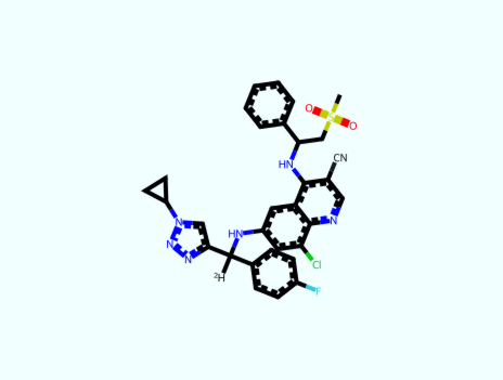 [2H]C(Nc1cc(Cl)c2ncc(C#N)c(NC(CS(C)(=O)=O)c3ccccc3)c2c1)(c1ccc(F)cc1)c1cn(C2CC2)nn1